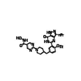 CCCc1n[nH]c2c(=O)[nH]c(-c3cc(CC4CCN(c5ncc(C(=O)NO)cn5)CC4)ccc3OCC)nc12